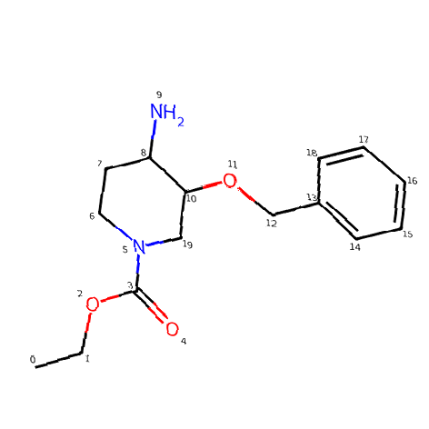 CCOC(=O)N1CCC(N)C(OCc2ccccc2)C1